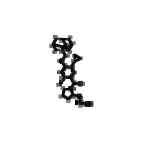 O=C(c1cc(C2CC2)c(OCC23CC4CC(CC(C4)C2)C3)cc1F)N1CCCC1ONO